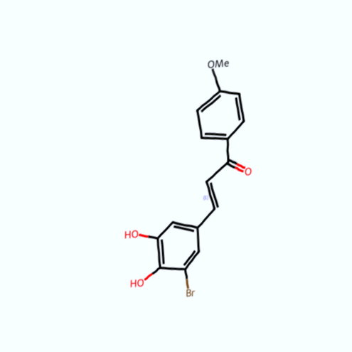 COc1ccc(C(=O)/C=C/c2cc(O)c(O)c(Br)c2)cc1